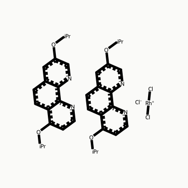 CC(C)Oc1cnc2c(ccc3c(OC(C)C)ccnc32)c1.CC(C)Oc1cnc2c(ccc3c(OC(C)C)ccnc32)c1.[Cl-].[Cl][Rh+][Cl]